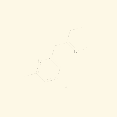 CCC(Cc1cc(Br)cc(C)n1)=NO